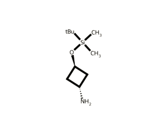 CC(C)(C)[Si](C)(C)O[C@H]1C[C@H](N)C1